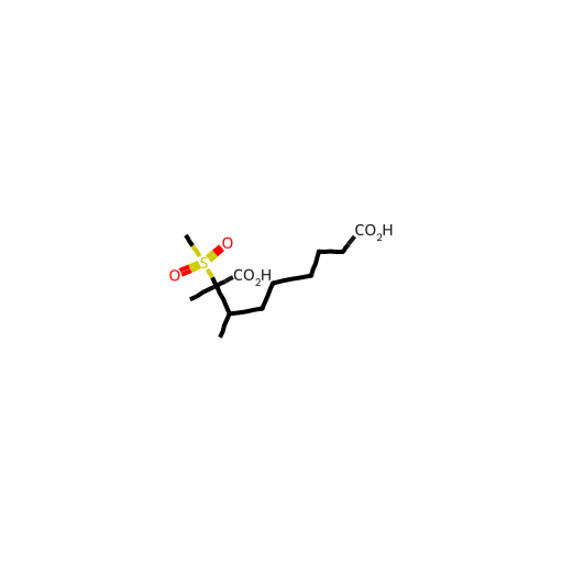 CC(CCCCCC(=O)O)C(C)(C(=O)O)S(C)(=O)=O